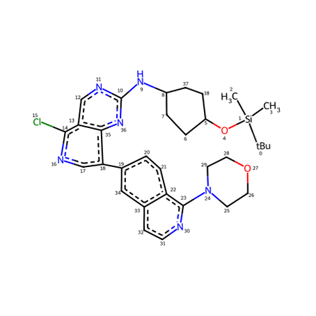 CC(C)(C)[Si](C)(C)OC1CCC(Nc2ncc3c(Cl)ncc(-c4ccc5c(N6CCOCC6)nccc5c4)c3n2)CC1